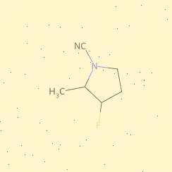 CC1C(F)CCN1C#N